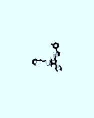 Cc1cccc(-c2ccn(-c3cc(N4CCOCC4)c4ncn(CCCc5ccccn5)c4n3)n2)c1